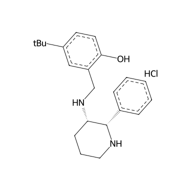 CC(C)(C)c1ccc(O)c(CN[C@H]2CCCN[C@H]2c2ccccc2)c1.Cl